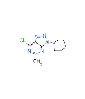 Cc1nc(Cl)c2nnn(C3CCCCC3)c2n1